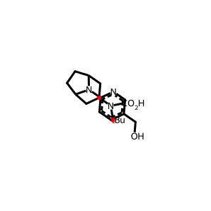 CC(C)(C)N(C(=O)O)C1CC2CCC(C1)N2c1ccc(CO)cn1